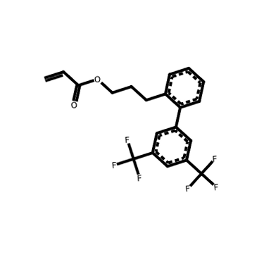 C=CC(=O)OCCCc1ccccc1-c1cc(C(F)(F)F)cc(C(F)(F)F)c1